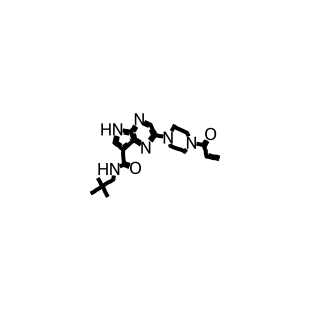 C=CC(=O)N1CCN(c2cnc3[nH]cc(C(=O)NCC(C)(C)C)c3n2)CC1